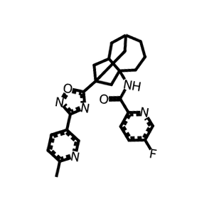 Cc1ccc(-c2noc(C34CC5CCCC(NC(=O)c6ccc(F)cn6)(C3)C(C5)C4)n2)cn1